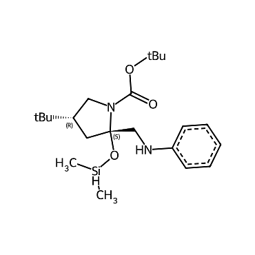 C[SiH](C)O[C@]1(CNc2ccccc2)C[C@H](C(C)(C)C)CN1C(=O)OC(C)(C)C